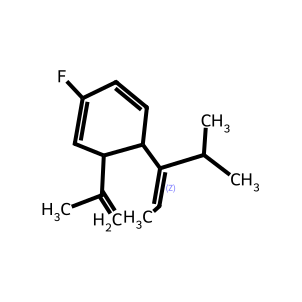 C=C(C)C1C=C(F)C=CC1/C(=C\C)C(C)C